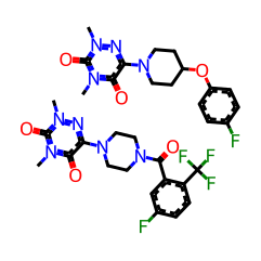 Cn1nc(N2CCC(Oc3ccc(F)cc3)CC2)c(=O)n(C)c1=O.Cn1nc(N2CCN(C(=O)c3cc(F)ccc3C(F)(F)F)CC2)c(=O)n(C)c1=O